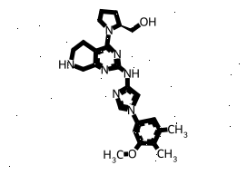 COc1cc(-n2cnc(Nc3nc4c(c(N5CCC[C@H]5CO)n3)CCNC4)c2)cc(C)c1C